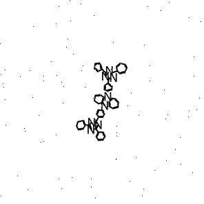 C1=CC=CC(c2nc(-c3ccccc3)nc(-c3ccc(N4C5=C(CCC=C5)N(c5ccc(-c6nc(C7=CCCC=C7)nc(-c7ccccc7)n6)cc5)C5=CC4C=CC=C5)cc3)n2)C=C1